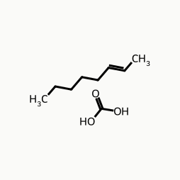 CC=CCCCCC.O=C(O)O